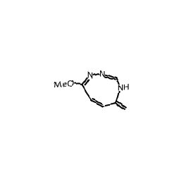 C=C1\C=C/C(OC)=N\N=C/N1